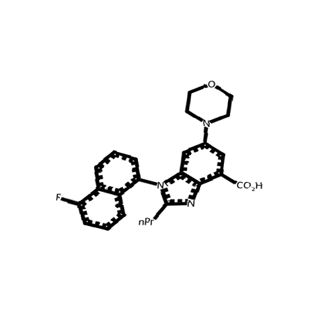 CCCc1nc2c(C(=O)O)cc(N3CCOCC3)cc2n1-c1cccc2c(F)cccc12